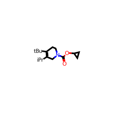 CC(C)C1=C(C(C)(C)C)CCN(C(=O)OC2CC2)C1